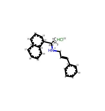 C[C@@H](NCC=Cc1ccccc1)c1cccc2ccccc12.Cl